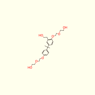 CC(C)(c1ccc(OCCOCCO)cc1)c1ccc(OCCOCCO)c(CCO)c1